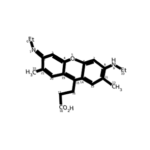 CCN=c1cc2oc3cc(NCC)c(C)cc3c(CCC(=O)O)c-2cc1C